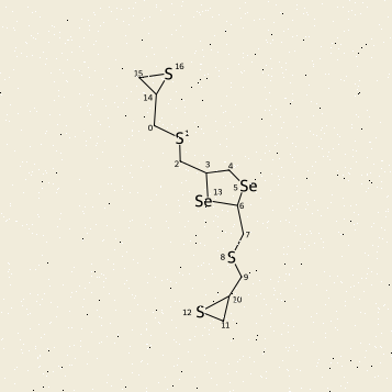 C(SCC1C[Se]C(CSCC2CS2)[Se]1)C1CS1